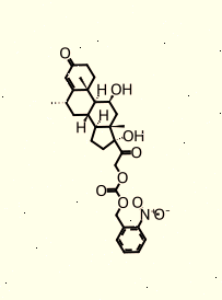 C[C@H]1C[C@@H]2[C@H]([C@@H](O)C[C@@]3(C)[C@H]2CC[C@]3(O)C(=O)COC(=O)OCc2ccccc2[N+](=O)[O-])[C@@]2(C)CCC(=O)C=C12